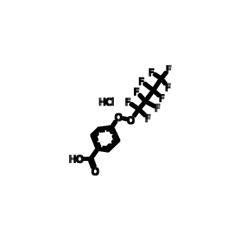 Cl.O=C(O)c1ccc(OOC(F)(F)C(F)(F)C(F)(F)C(F)(F)F)cc1